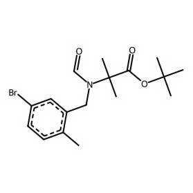 Cc1ccc(Br)cc1CN(C=O)C(C)(C)C(=O)OC(C)(C)C